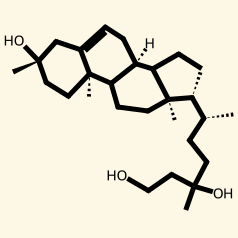 C[C@H](CCC(C)(O)CCO)[C@H]1CCC2[C@@H]3CC=C4C[C@@](C)(O)CC[C@]4(C)C3CC[C@@]21C